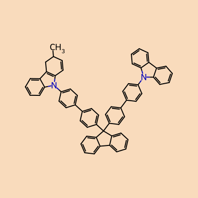 CC1C=Cc2c(c3ccccc3n2-c2ccc(-c3ccc(C4(c5ccc(-c6ccc(-n7c8ccccc8c8ccccc87)cc6)cc5)c5ccccc5-c5ccccc54)cc3)cc2)C1